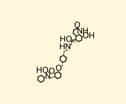 O=C(O)N(Cc1cccc(OCc2ccc(CCNC[C@H](O)c3ccc(O)c4[nH]c(=O)ccc34)cc2)c1)c1ccccc1